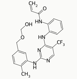 C=CC(=O)Nc1ccccc1Nc1nc(Nc2cc(COCO)ccc2C)ncc1C(F)(F)F